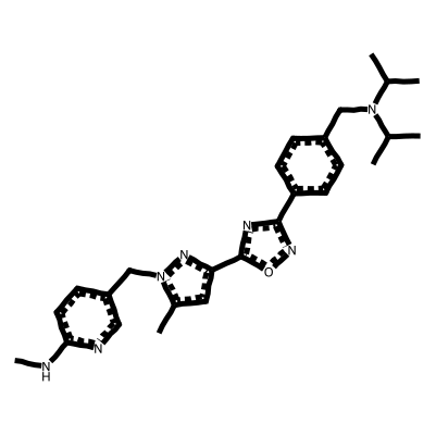 CNc1ccc(Cn2nc(-c3nc(-c4ccc(CN(C(C)C)C(C)C)cc4)no3)cc2C)cn1